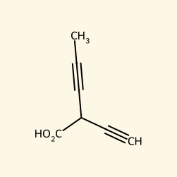 C#CC(C#CC)C(=O)O